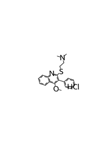 COc1c(-c2ccccc2)c(SCCN(C)C)nc2ccccc12.Cl